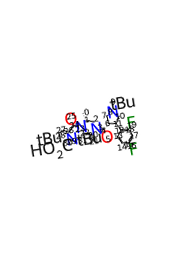 C[C@@H]1CN(C(=O)[C@@H]2CN(C(C)(C)C)C[C@H]2c2ccc(F)cc2F)[C@@H](C)CN1C(=O)C(CC(C)(C)C)N(C(=O)O)C(C)(C)C